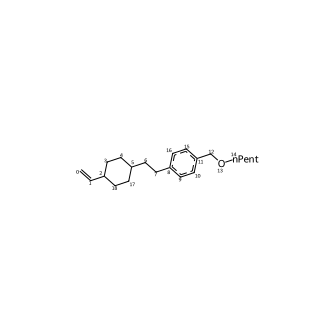 C=CC1CCC(CCc2ccc(COCCCCC)cc2)CC1